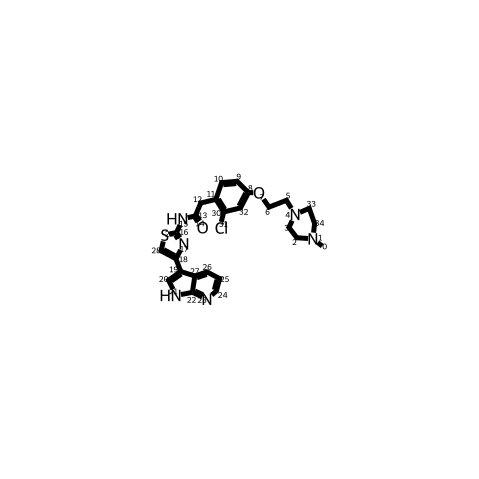 CN1CCN(CCOc2ccc(CC(=O)Nc3nc(-c4c[nH]c5ncccc45)cs3)c(Cl)c2)CC1